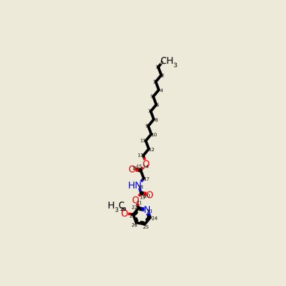 CCCCCCCCCCCCCCOC(=O)CNC(=O)Oc1ncccc1OC